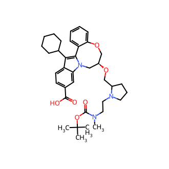 CN(CCN1CCCC1CO[C@@H]1COc2ccccc2-c2c(C3CCCCC3)c3ccc(C(=O)O)cc3n2C1)C(=O)OC(C)(C)C